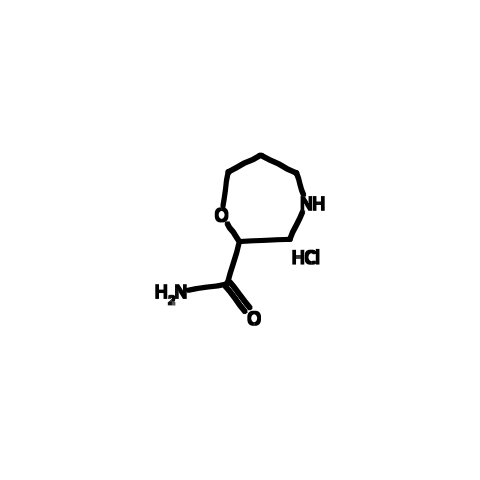 Cl.NC(=O)C1CNCCCO1